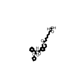 O=C(CCCCCCC(=O)N1CCc2ccc(C(=O)NC(C(=O)OC3CCCC3)c3ccccc3)cc2C1)NO